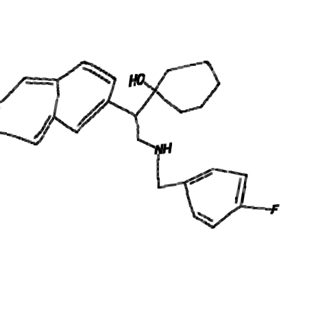 OC1(C(CNCc2ccc(F)cc2)c2ccc3ccccc3c2)CCCCC1